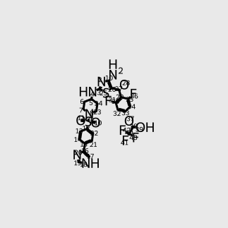 Nc1nc(NC2CCN(S(=O)(=O)c3ccc(-c4c[nH]cn4)cc3)CC2)sc1C(=O)c1c(F)cccc1F.O=C(O)C(F)(F)F